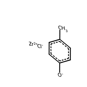 Cc1ccc([O-])cc1.[Cl-].[Zr+2]